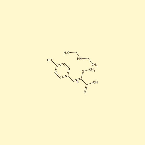 CCNCC.CO/C(=C\c1ccc(O)cc1)C(=O)O